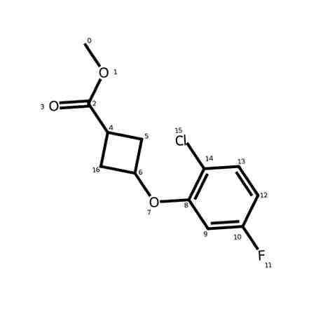 COC(=O)C1CC(Oc2cc(F)ccc2Cl)C1